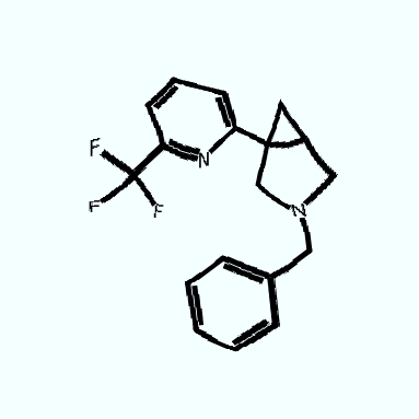 FC(F)(F)c1cccc(C23CC2CN(Cc2ccccc2)C3)n1